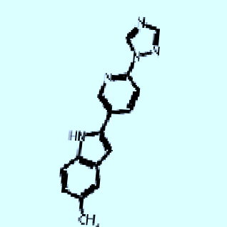 Cc1ccc2[nH]c(-c3ccc(-n4cncn4)nc3)cc2c1